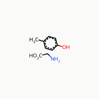 Cc1ccc(O)cc1.NCC(=O)O